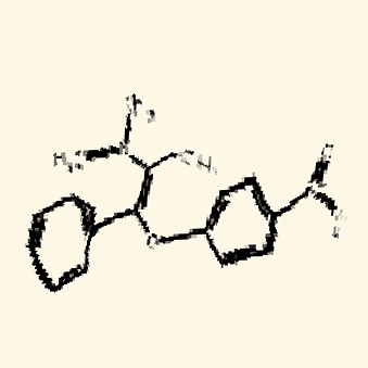 CC(=C(Oc1ccc([N+](=O)[O-])cc1)c1ccccc1)N(C)C